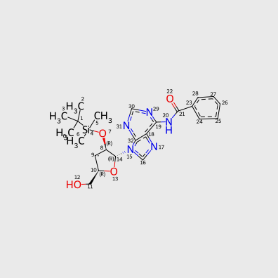 CC(C)(C)[Si](C)(C)O[C@@H]1[CH][C@H](CO)O[C@H]1n1cnc2c(NC(=O)c3ccccc3)ncnc21